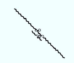 CCCCCCCCC=CCCCCCCCCOC(=O)C=CC(=O)OCCCCCCCCC=CCCCCCCCC.CCC[CH2][Sn][CH2]CCC